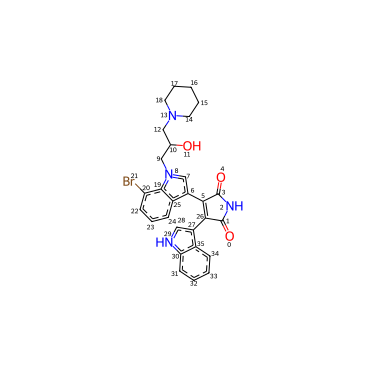 O=C1NC(=O)C(c2cn(CC(O)CN3CCCCC3)c3c(Br)cccc23)=C1c1c[nH]c2ccccc12